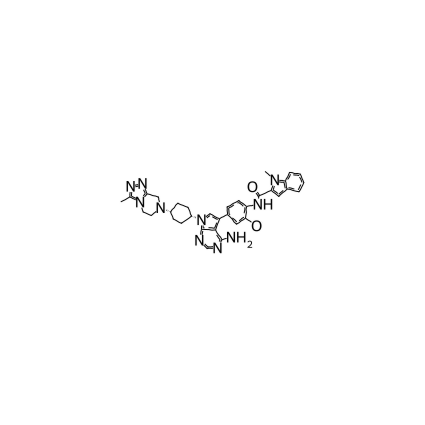 COc1cc(-c2cn([C@H]3CC[C@@H](N4CCn5c(C)nnc5C4)CC3)c3ncnc(N)c23)ccc1NC(=O)c1cc2ccccc2n1C